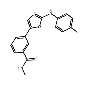 CNC(=O)c1cccc(-c2cnc(Nc3ccc(F)cc3)o2)c1